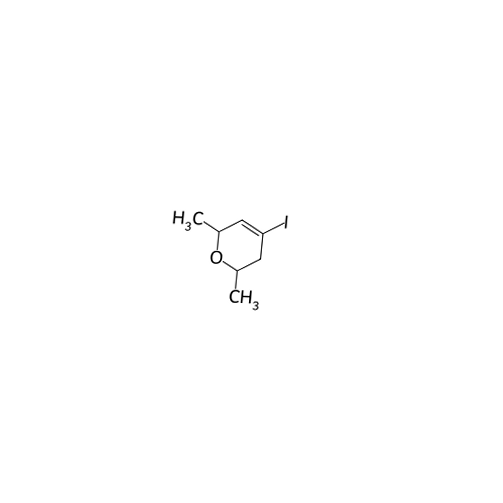 CC1C=C(I)CC(C)O1